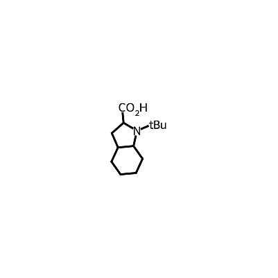 CC(C)(C)N1C(C(=O)O)CC2CCCCC21